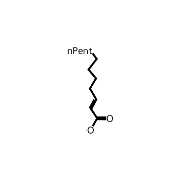 CCCCCCCCC/C=C/C([O])=O